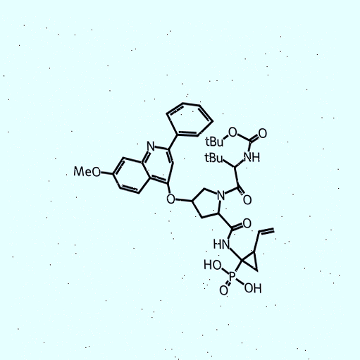 C=CC1CC1(NC(=O)C1CC(Oc2cc(-c3ccccc3)nc3cc(OC)ccc23)CN1C(=O)C(NC(=O)OC(C)(C)C)C(C)(C)C)P(=O)(O)O